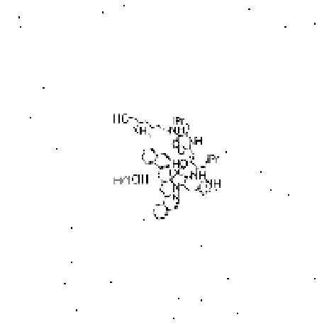 CC(C)CC(NC(=O)CC(O)C(CC(C)C)NC(=O)C(Cc1c[nH]cn1)NC(=O)C(Cc1cccc2ccccc12)Cc1cccc2ccccc12)C(=O)NCCCCC(N)CO.Cl.Cl